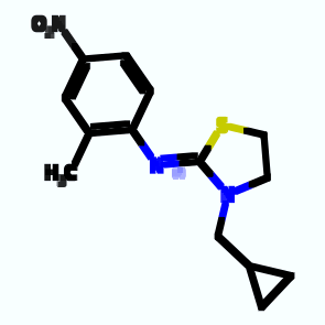 Cc1cc([N+](=O)[O-])ccc1/N=C1\SCCN1CC1CC1